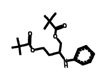 CC(C)(C)C(=O)OCCC(COC(=O)C(C)(C)C)Nc1ccccc1